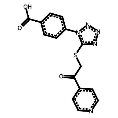 O=C(O)c1ccc(-n2nnnc2SCC(=O)c2ccncc2)cc1